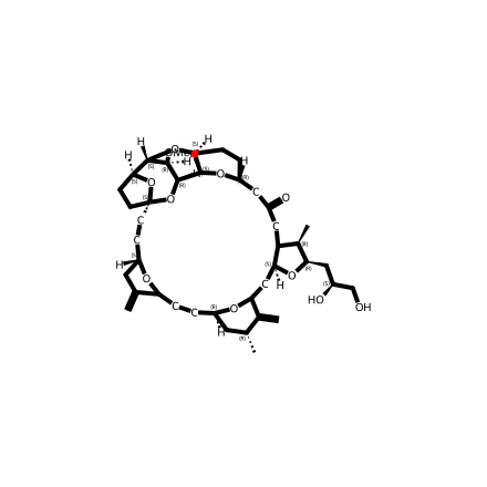 C=C1C[C@@H]2CC[C@]34CC[C@H](O3)[C@@H]3O[C@H]5CC[C@H](CC(=O)CC6[C@H](CC7O[C@H](CCC1O2)C[C@@H](C)C7=C)O[C@H](C[C@H](O)CO)[C@@H]6C)O[C@@H]5[C@H](O4)[C@@H]3OC